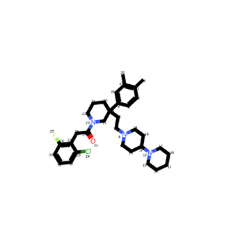 Cc1ccc(C2(CCN3CCC(N4CCCCC4)CC3)CCCN(C(=O)Cc3c(F)cccc3Cl)C2)cc1C